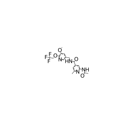 COc1cc(CNC(=O)c2cc(C)nc(NC(C)=O)c2)cnc1OCC(F)(F)F